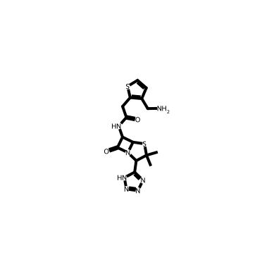 CC1(C)SC2C(NC(=O)Cc3sccc3CN)C(=O)N2C1c1nnn[nH]1